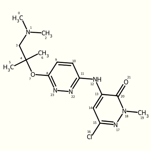 CN(C)CC(C)(C)Oc1ccc(Nc2cc(Cl)nn(C)c2=O)nn1